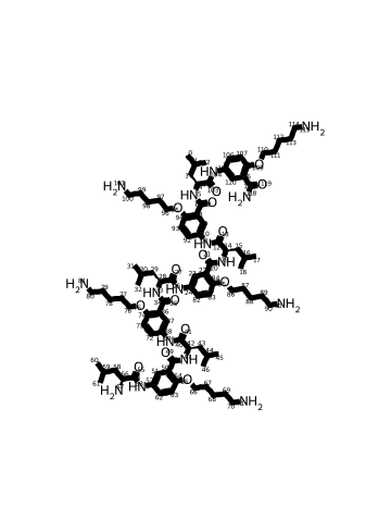 CC(C)C[C@H](NC(=O)c1cc(NC(=O)[C@@H](CC(C)C)NC(=O)c2cc(NC(=O)[C@H](CC(C)C)NC(=O)c3cc(NC(=O)[C@@H](CC(C)C)NC(=O)c4cc(NC(=O)[C@@H](N)CC(C)C)ccc4OCCCCCN)ccc3OCCCCCN)ccc2OCCCCCN)ccc1OCCCCCN)C(=O)Nc1ccc(OCCCCCN)c(C(N)=O)c1